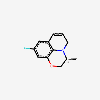 C[C@H]1COc2cc(F)cc3c2N1CC=C3